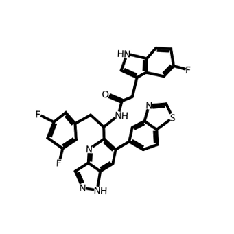 O=C(Cc1c[nH]c2ccc(F)cc12)NC(Cc1cc(F)cc(F)c1)c1nc2cn[nH]c2cc1-c1ccc2scnc2c1